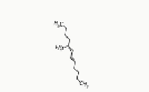 CCCCC=CC=C(O)CCCC